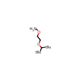 CC(C)(C)C(OCCO[SiH3])C(C)(C)C